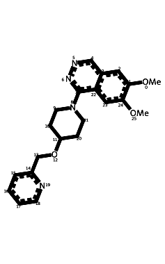 COc1cc2cnnc(N3CCC(OCc4ccccn4)CC3)c2cc1OC